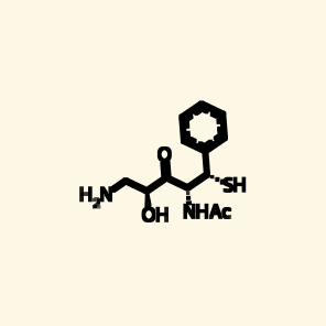 CC(=O)N[C@H](C(=O)[C@@H](O)CN)[C@@H](S)c1ccccc1